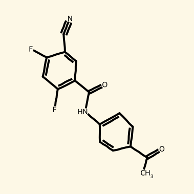 CC(=O)c1ccc(NC(=O)c2cc(C#N)c(F)cc2F)cc1